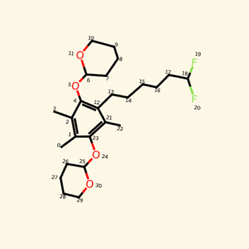 Cc1c(C)c(OC2CCCCO2)c(CCCCCC(F)F)c(C)c1OC1CCCCO1